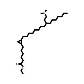 CCCCCCCC(CCCCCCCCC1CC1CCCCCC(=O)OCC)CCN(C)C